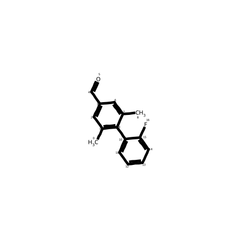 Cc1cc(C=O)cc(C)c1-c1ccccc1F